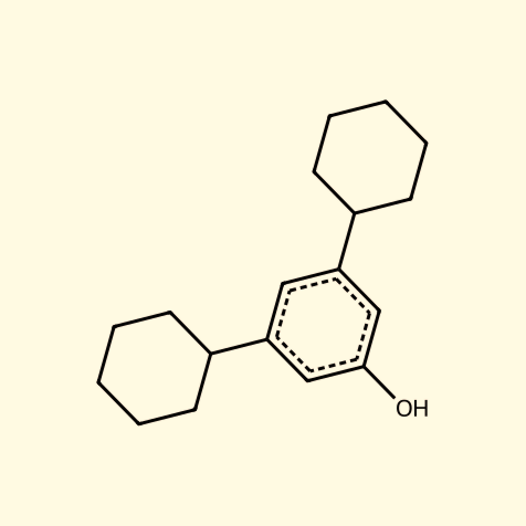 Oc1cc(C2CCCCC2)cc(C2CCCCC2)c1